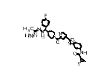 C/C(N=N)=N/NC(c1ccc(F)cc1)C1CCN(C(=O)c2cc(-c3nc4cc(NC(=O)C5C[C@@H]5F)ccc4o3)ccn2)CC1